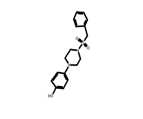 O=S(=O)(Cc1ccccc1)N1CCN(c2ccc(O)cc2)CC1